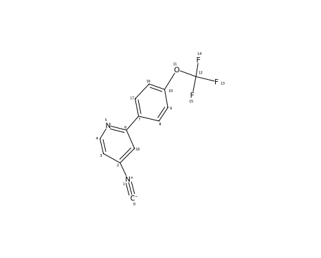 [C-]#[N+]c1ccnc(-c2ccc(OC(F)(F)F)cc2)c1